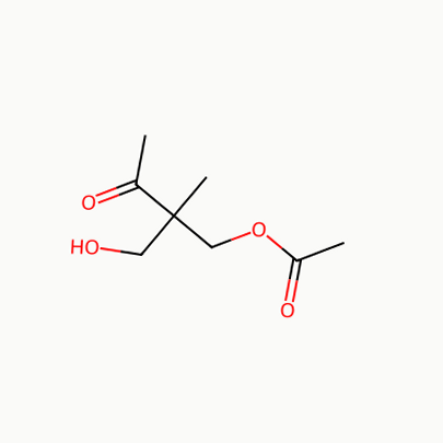 CC(=O)OCC(C)(CO)C(C)=O